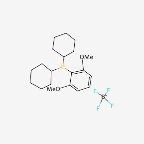 COc1cccc(OC)c1P(C1CCCCC1)C1CCCCC1.F[B-](F)(F)F